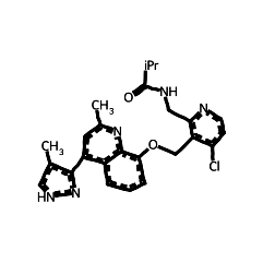 Cc1cc(-c2n[nH]cc2C)c2cccc(OCc3c(Cl)ccnc3CNC(=O)C(C)C)c2n1